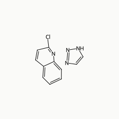 Clc1ccc2ccccc2n1.c1c[nH]nn1